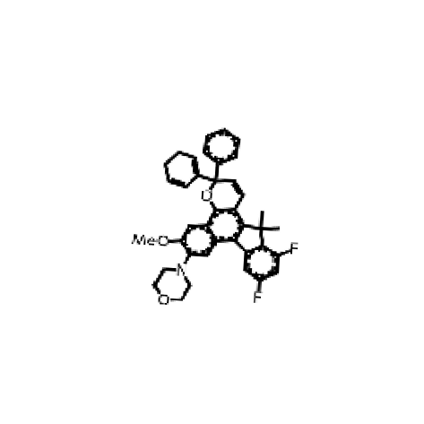 COc1cc2c3c(c4c(c2cc1N1CCOCC1)-c1cc(F)cc(F)c1C4(C)C)C=CC(C1=CCCC=C1)(c1ccccc1)O3